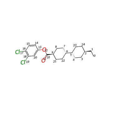 CC[C@H]1CC[C@H]([C@H]2CC[C@H](C(=O)Oc3ccc(Cl)c(Cl)c3)CC2)CC1